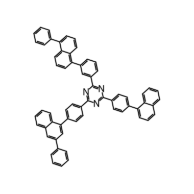 c1ccc(-c2cc(-c3ccc(-c4nc(-c5ccc(-c6cccc7ccccc67)cc5)nc(-c5cccc(-c6cccc7c(-c8ccccc8)cccc67)c5)n4)cc3)c3ccccc3c2)cc1